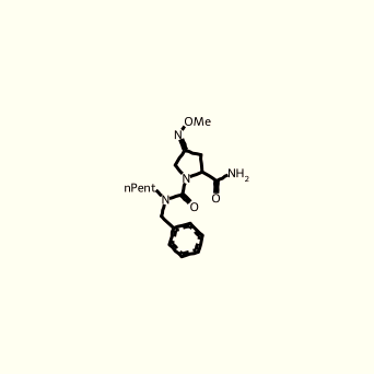 CCCCCN(Cc1ccccc1)C(=O)N1CC(=NOC)CC1C(N)=O